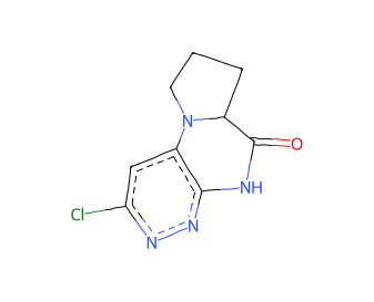 O=C1Nc2nnc(Cl)cc2N2CCCC12